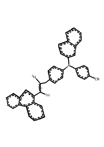 [2H]/C(=C(/[2H])c1cc2ccccc2c2ccccc12)c1ccc(N(c2ccc(C#N)cc2)c2ccc3ccccc3c2)cc1